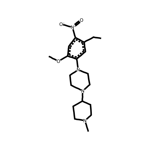 CCc1cc(N2CCN(C3CCN(C)CC3)CC2)c(OC)cc1[N+](=O)[O-]